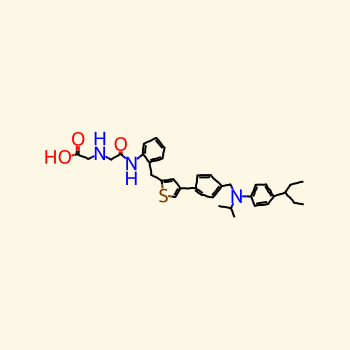 CCC(CC)c1ccc(N(Cc2ccc(-c3csc(Cc4ccccc4NC(=O)CNCC(=O)O)c3)cc2)C(C)C)cc1